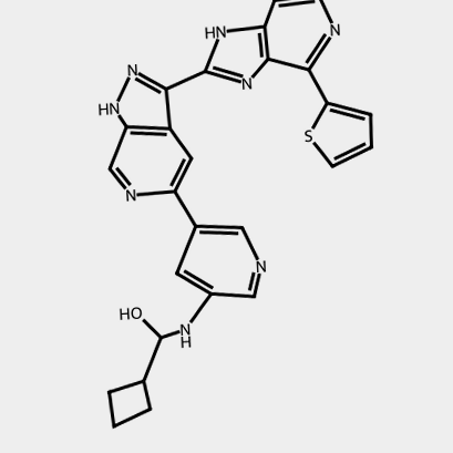 OC(Nc1cncc(-c2cc3c(-c4nc5c(-c6cccs6)nccc5[nH]4)n[nH]c3cn2)c1)C1CCC1